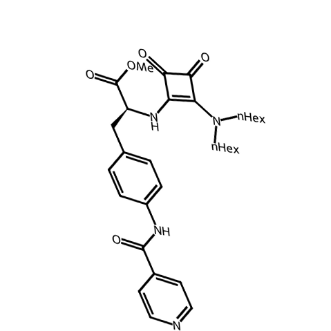 CCCCCCN(CCCCCC)c1c(N[C@@H](Cc2ccc(NC(=O)c3ccncc3)cc2)C(=O)OC)c(=O)c1=O